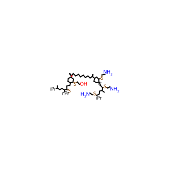 C=C(CCCCCCCCC(=C)C1CCC(CCC(SCCN)C(C)CCC(SCCN)C(C)C)C(SCCN)C1)C1CCC(CCC(SCCC)C(C)CCC(C)C(C)C)C(SCCO)C1